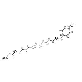 CC(C)CCOCCCCOCCCCCCOCc1ccc(Cl)cc1